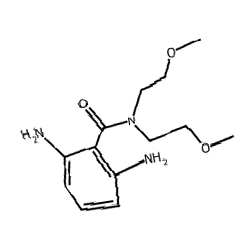 COCCN(CCOC)C(=O)c1c(N)cccc1N